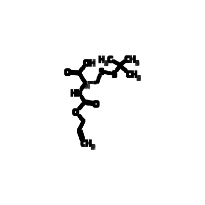 C=CCOC(=O)N[C@@H](CSSC(C)(C)C)C(=O)O